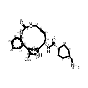 NC[C@H]1CC[C@H](C(=O)N[C@H]2C/C=C/CCC(=O)Nc3ccccc3-c3nc2[nH]c3Cl)CC1